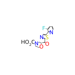 O=C(c1ncc(-c2ncccc2F)s1)[C@@H]1CN(C(=O)O)CCO1